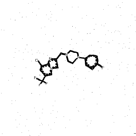 Fc1ccc(N2CCN(Cc3cn4cc(C(F)(F)F)cc(Cl)c4n3)CC2)cc1